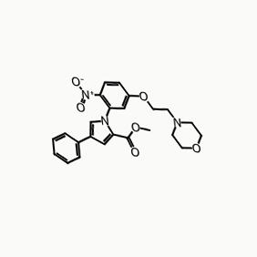 COC(=O)c1cc(-c2ccccc2)cn1-c1cc(OCCN2CCOCC2)ccc1[N+](=O)[O-]